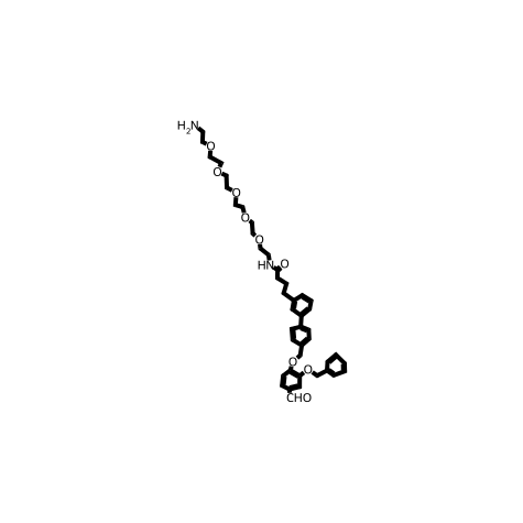 NCCOCCOCCOCCOCCOCCNC(=O)CCCc1cccc(-c2ccc(COc3ccc(C=O)cc3OCc3ccccc3)cc2)c1